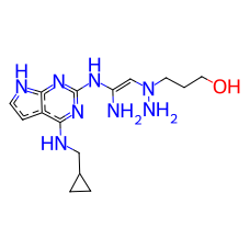 N/C(=C\N(N)CCCO)Nc1nc(NCC2CC2)c2cc[nH]c2n1